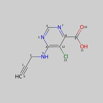 C#CCNc1ncnc(C(=O)O)c1Cl